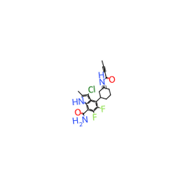 CC#CC(=O)N[C@@H]1CCCC(c2c(F)c(F)c(C(N)=O)c3[nH]c(C)c(Cl)c23)C1